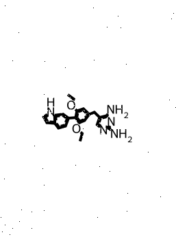 CCOc1cc(Cc2cnc(N)nc2N)cc(OCC)c1-c1ccc2cc[nH]c2c1